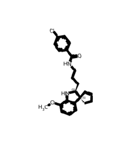 COc1cccc2c1N[C@@H](CCCNC(=O)c1ccc(Cl)cc1)[C@@]21C=CCC1